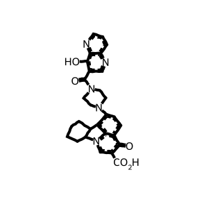 O=C(O)c1cn2c3c(c(N4CCN(C(=O)c5cnc6cccnc6c5O)CC4)ccc3c1=O)C1CCCCC12